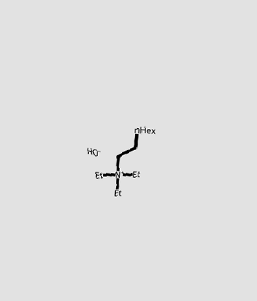 CCCCCCCC[N+](CC)(CC)CC.[OH-]